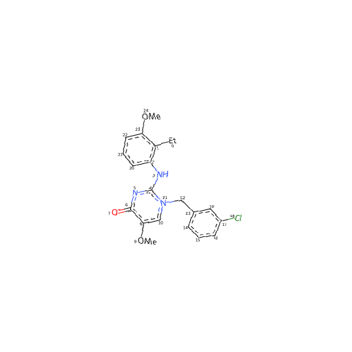 CCc1c(Nc2nc(=O)c(OC)cn2Cc2cccc(Cl)c2)cccc1OC